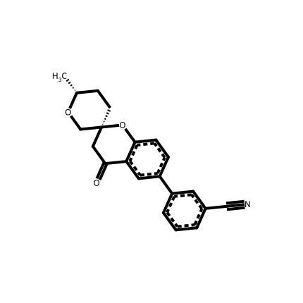 C[C@@H]1CC[C@@]2(CO1)CC(=O)c1cc(-c3cccc(C#N)c3)ccc1O2